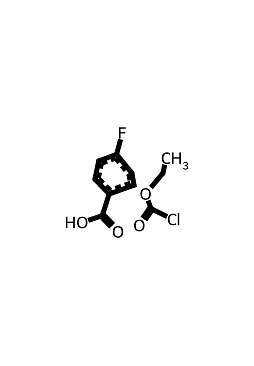 CCOC(=O)Cl.O=C(O)c1ccc(F)cc1